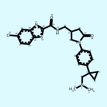 CN(C)CC1(c2ccc(N3CC(CNC(=O)c4nc5cc(Cl)ccc5s4)CC3=O)cc2)CC1